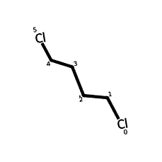 ClC[CH]CCCl